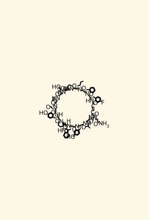 CCCC[C@H]1C(=O)N2CCC[C@@H]2C(=O)N[C@@H](CC(=O)O)C(=O)N[C@@H](C(C)C)C(=O)N(C)[C@@H](CCOC)C(=O)N[C@@H](Cc2ccc(O)cc2)C(=O)N2CCCC[C@@H]2C(=O)N[C@@H](Cc2c[nH]c3ccccc23)C(=O)N[C@@H](Cc2ccc(O)cc2)C(=O)N[C@@H](CC(C)C)C(=O)N[C@H](C(=O)NCC(N)=O)CSCC(=O)N[C@@H](Cc2ccc(F)cc2)C(=O)N(C)[C@@H](Cc2ccccc2)C(=O)N1C